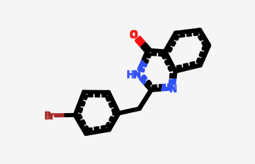 O=c1[nH]c(Cc2ccc(Br)cc2)nc2ccccc12